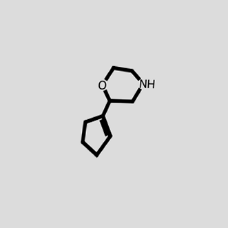 C1=C(C2CNCCO2)CCC1